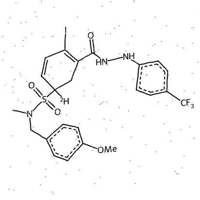 [2H]C1(S(=O)(=O)N(C)Cc2ccc(OC)cc2)C=CC(I)=C(C(=O)NNc2ccc(C(F)(F)F)cc2)C1